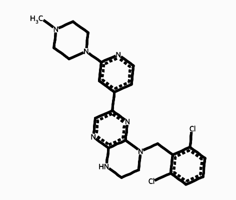 CN1CCN(c2cc(-c3cnc4c(n3)N(Cc3c(Cl)cccc3Cl)CCN4)ccn2)CC1